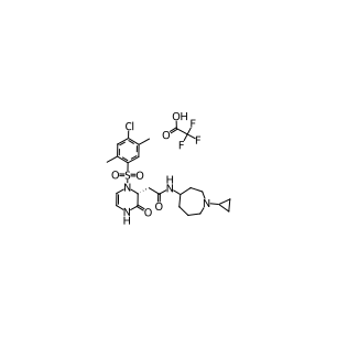 Cc1cc(S(=O)(=O)N2C=CNC(=O)[C@H]2CC(=O)NC2CCCN(C3CC3)CC2)c(C)cc1Cl.O=C(O)C(F)(F)F